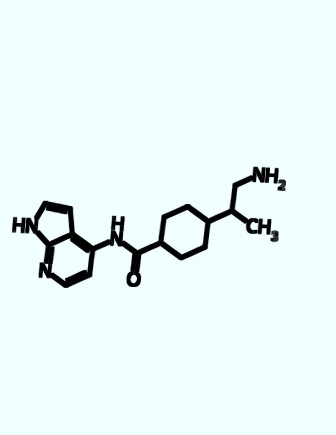 CC(CN)C1CCC(C(=O)Nc2ccnc3[nH]ccc23)CC1